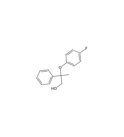 CC(CO)(Oc1ccc(F)cc1)c1ccccc1